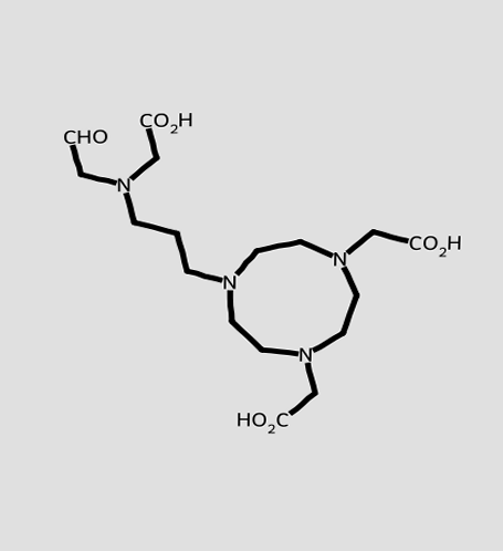 O=CCN(CCCN1CCN(CC(=O)O)CCN(CC(=O)O)CC1)CC(=O)O